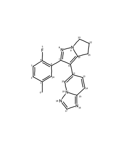 Cc1ccc(F)c(-c2nn3c(c2-c2ccc4ncnn4c2)CCC3)c1